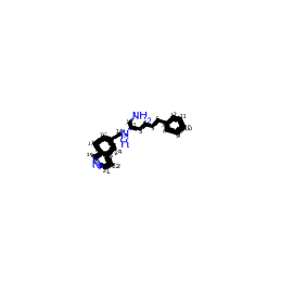 NCC(CCCCc1ccccc1)NCc1ccc2cnccc2c1